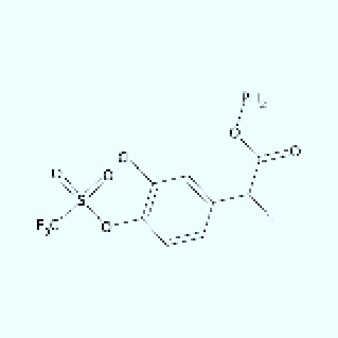 CC(C(=O)OP)c1ccc(OS(=O)(=O)C(F)(F)F)c(Cl)c1